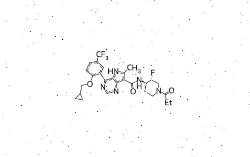 CCC(=O)N1CC[C@@H](NC(=O)c2c(C)[nH]c3c(-c4cc(C(F)(F)F)ccc4OCC4CC4)ncnc23)[C@H](F)C1